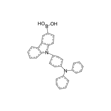 OB(O)c1ccc2c(c1)c1ccccc1n2-c1ccc(N(c2ccccc2)c2ccccc2)cc1